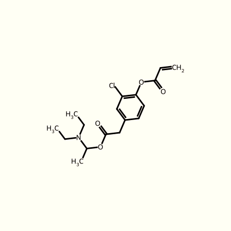 C=CC(=O)Oc1ccc(CC(=O)OC(C)N(CC)CC)cc1Cl